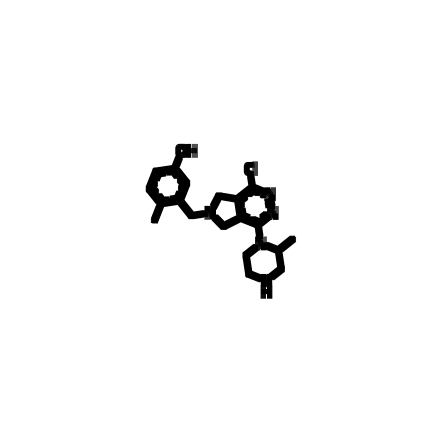 Cc1ccc(O)cc1CN1Cc2c(Cl)nnc(N3CCNCC3C)c2C1